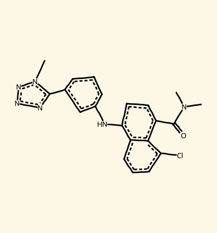 CN(C)C(=O)c1ccc(Nc2cccc(-c3nnnn3C)c2)c2cccc(Cl)c12